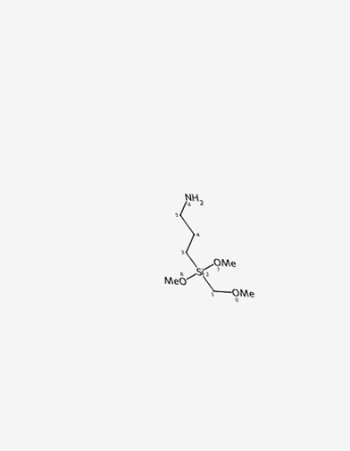 COC[Si](CCCN)(OC)OC